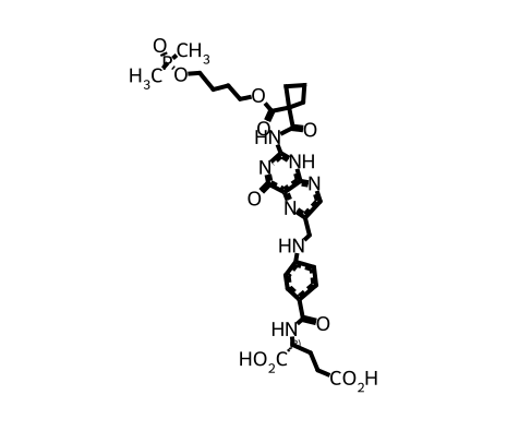 CP(C)(=O)OCCCCOC(=O)C1(C(=O)Nc2nc(=O)c3nc(CNc4ccc(C(=O)N[C@H](CCC(=O)O)C(=O)O)cc4)cnc3[nH]2)CCC1